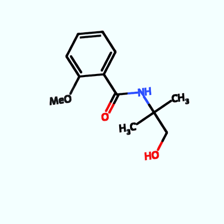 COc1ccccc1C(=O)NC(C)(C)CO